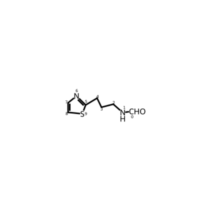 O=CNCCCc1nccs1